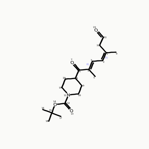 C/C(=C/C=C(\C)C(=O)C1CCN(C(=O)OC(C)(C)C)CC1)CC=O